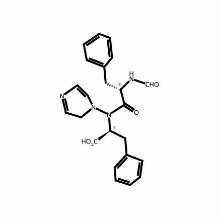 O=CN[C@@H](Cc1ccccc1)C(=O)N([C@@H](Cc1ccccc1)C(=O)O)N1C=CN=CC1